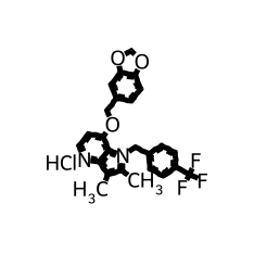 Cc1c(C)n(Cc2ccc(C(F)(F)F)cc2)c2c(OCc3ccc4c(c3)OCO4)ccnc12.Cl